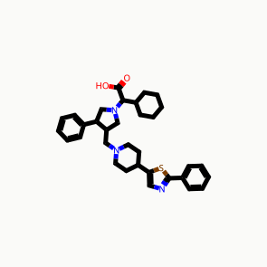 O=C(O)C(C1CCCCC1)N1CC(CN2CCC(c3cnc(-c4ccccc4)s3)CC2)C(c2ccccc2)C1